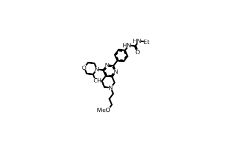 CCNC(=O)Nc1ccc(-c2nc3c(c(N4CCOCC4C)n2)CCN(CCCOC)C3)cc1